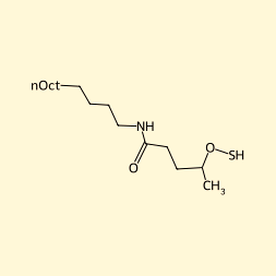 CCCCCCCCCCCCNC(=O)CCC(C)OS